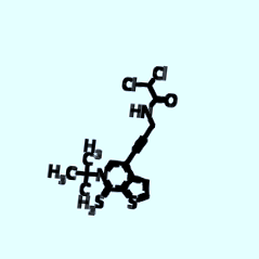 CC(C)(C)n1cc(C#CCNC(=O)C(Cl)Cl)c2ccsc2c1=S